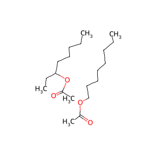 CCCCCC(CC)OC(C)=O.CCCCCCCCOC(C)=O